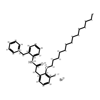 CCCCCCCCCCCCCCOc1c(F)cccc1CC(=O)Nc1ccccc1C[n+]1ccccc1.[Br-]